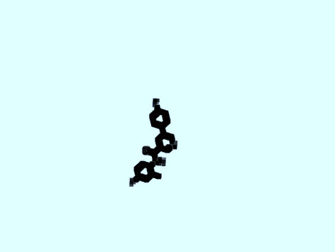 Cc1cc(F)ccc1NC(=O)c1cncc(-c2ccc(F)cc2)c1